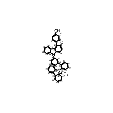 Cc1ccc2c(c1)oc1ccc3c(c4ccccc4n3-c3cccc(-c4ccccc4N4c5ccccc5C5=CC=CCC54C)c3)c12